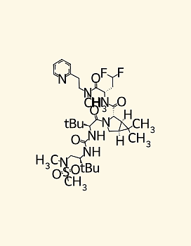 CN(CCc1ccccn1)C(=O)[C@H](CC(F)F)NC(=O)[C@@H]1[C@@H]2[C@H](CN1C(=O)[C@@H](NC(=O)N[C@H](CN(C)S(C)(=O)=O)C(C)(C)C)C(C)(C)C)C2(C)C